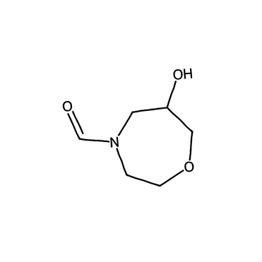 O=CN1CCOCC(O)C1